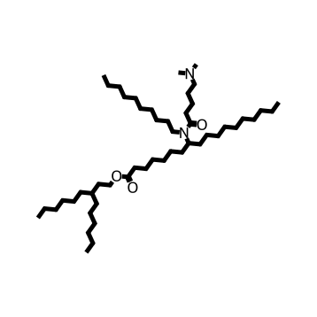 CCCCCCCCCCC(CCCCCCC(=O)OCCC(CCCCCC)CCCCCC)N(CCCCCCCCCC)C(=O)CCCCN(C)C